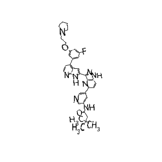 CC(C)(C)CC(=O)Nc1cncc(-c2ccc3[nH]nc(-c4cc5c(-c6cc(F)cc(OCCN7CCCC7)c6)ccnc5[nH]4)c3n2)c1